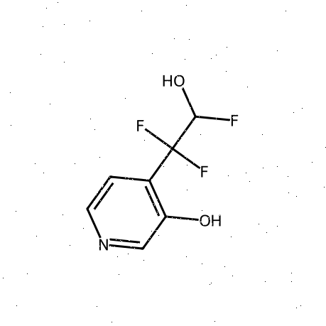 Oc1cnccc1C(F)(F)C(O)F